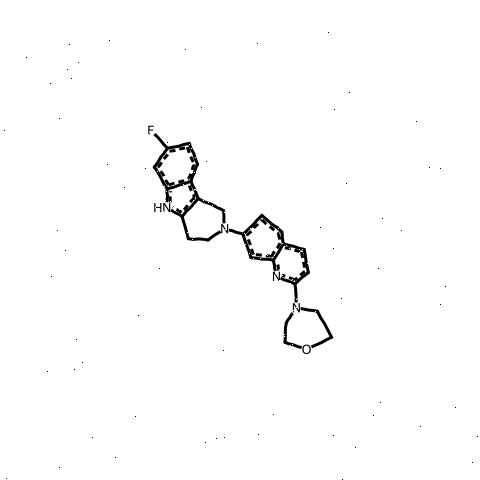 Fc1ccc2c3c([nH]c2c1)CCN(c1ccc2ccc(N4CCOCC4)nc2c1)C3